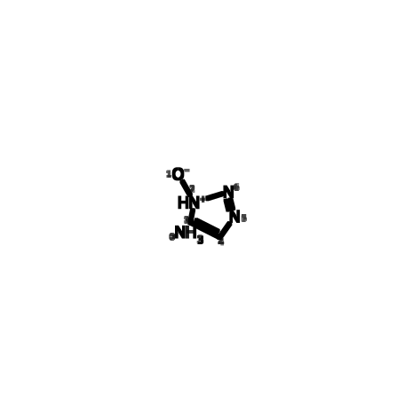 N.[O-][NH+]1C=CN=N1